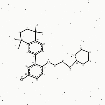 CC1(C)CCC(C)(C)c2cc(-c3nc(Cl)ccc3OCCOC3CCCCO3)ccc21